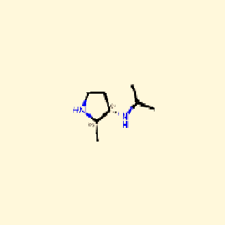 CC(C)N[C@H]1CCN[C@@H]1C